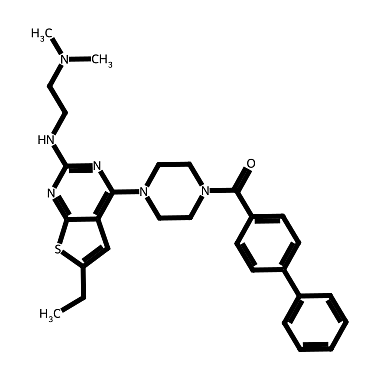 CCc1cc2c(N3CCN(C(=O)c4ccc(-c5ccccc5)cc4)CC3)nc(NCCN(C)C)nc2s1